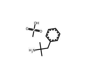 CC(C)(N)Cc1ccccc1.CS(=O)(=O)O